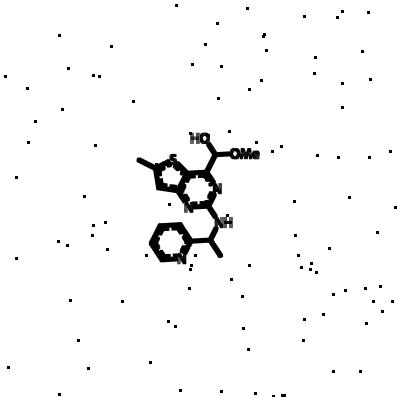 COC(O)c1nc(NC(C)c2ccccn2)nc2cc(C)sc12